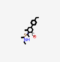 C=C(NCC)S/C(C)=C1\C(=C)CC(c2ccc(CC)cc2)CC1=C=O